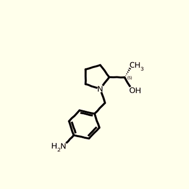 C[C@H](O)C1CCCN1Cc1ccc(N)cc1